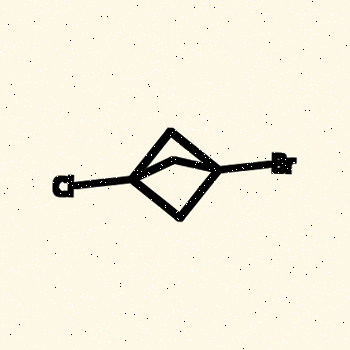 ClC12CC(Br)(C1)C2